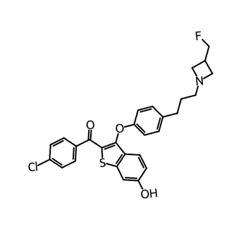 O=C(c1ccc(Cl)cc1)c1sc2cc(O)ccc2c1Oc1ccc(CCCN2CC(CF)C2)cc1